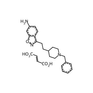 Nc1ccc2c(CCC3CCN(Cc4ccccc4)CC3)noc2c1.O=C(O)C=CC(=O)O